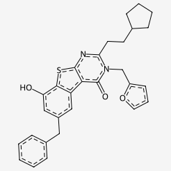 O=c1c2c(nc(CCC3CCCC3)n1Cc1ccco1)sc1c(O)cc(Cc3ccccc3)cc12